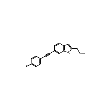 CCCc1cc2ccc(C#Cc3ccc(F)cc3)cc2s1